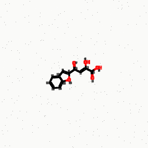 O=C(O)C(O)=CC(=O)c1cc2ccccc2o1